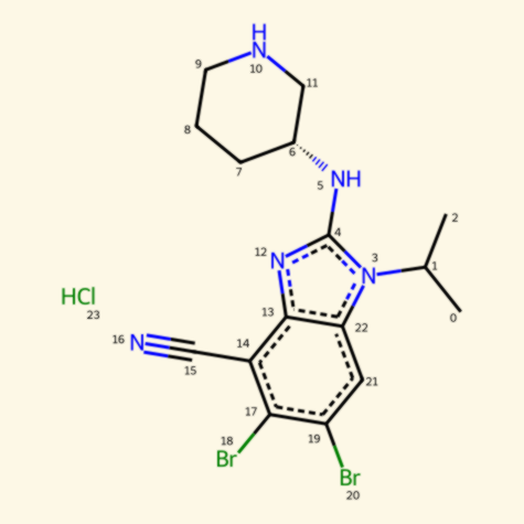 CC(C)n1c(N[C@@H]2CCCNC2)nc2c(C#N)c(Br)c(Br)cc21.Cl